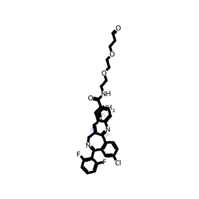 N/C=N/C=C1/CN=C(c2c(F)cccc2F)c2cc(Cl)ccc2/C1=N/c1ccc(C(=O)NCCOCCOCCC=O)cc1